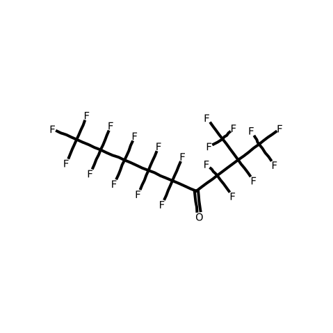 O=C(C(F)(F)C(F)(F)C(F)(F)C(F)(F)C(F)(F)F)C(F)(F)C(F)(C(F)(F)F)C(F)(F)F